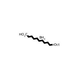 B.CCCCCCCCCCCCCCCCCC(=O)O